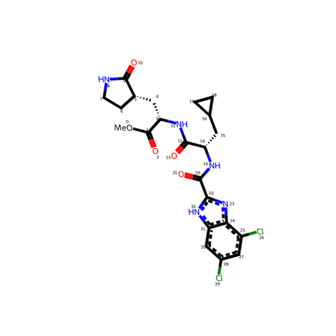 COC(=O)[C@H](C[C@@H]1CCNC1=O)NC(=O)[C@H](CC1CC1)NC(=O)c1nc2c(Cl)cc(Cl)cc2[nH]1